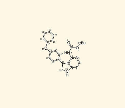 CC(C)(C)OC(=O)Nc1nccc2c1C(c1ccc(Oc3ccccc3)cc1)CN2